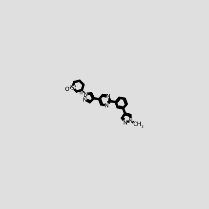 Cn1cc(-c2cccc(-c3ncc(-c4cnn([C@@H]5CCC[S@+]([O-])C5)c4)cn3)c2)cn1